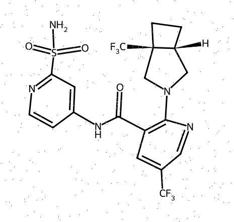 NS(=O)(=O)c1cc(NC(=O)c2cc(C(F)(F)F)cnc2N2C[C@H]3CC[C@@]3(C(F)(F)F)C2)ccn1